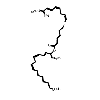 CCCCCC(O)/C=C/C=C\C/C=C\CCCCCCC(=O)OC(/C=C/C=C\C/C=C\CCCCCCC(=O)O)CCCCC